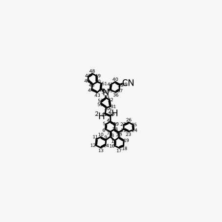 [2H]/C(=C(/[2H])c1ccc2c(-c3ccccc3)c3ccccc3c(-c3ccccc3)c2c1)c1ccc(N(c2ccc(C#N)cc2)c2ccc3ccccc3c2)cc1